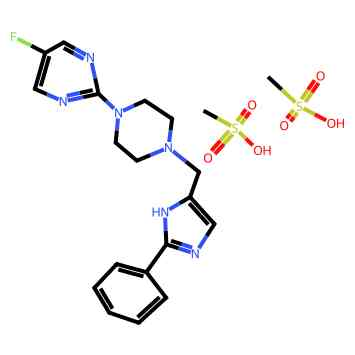 CS(=O)(=O)O.CS(=O)(=O)O.Fc1cnc(N2CCN(Cc3cnc(-c4ccccc4)[nH]3)CC2)nc1